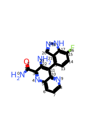 NC(=O)c1nc2cccnc2c(-c2ccc(F)c3[nH]ncc23)c1N